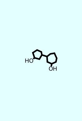 OC1CCCCC(C2CCCC(O)C2)C1